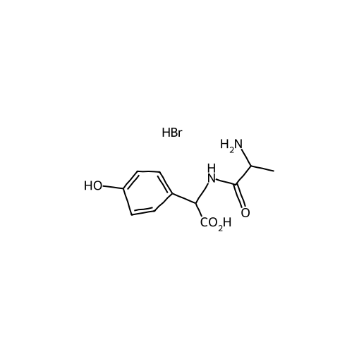 Br.CC(N)C(=O)NC(C(=O)O)c1ccc(O)cc1